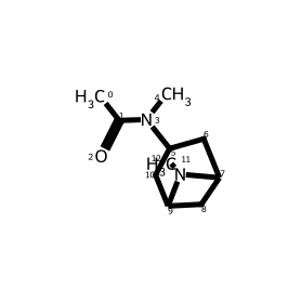 CC(=O)N(C)C1CC2CC(C1)N2C